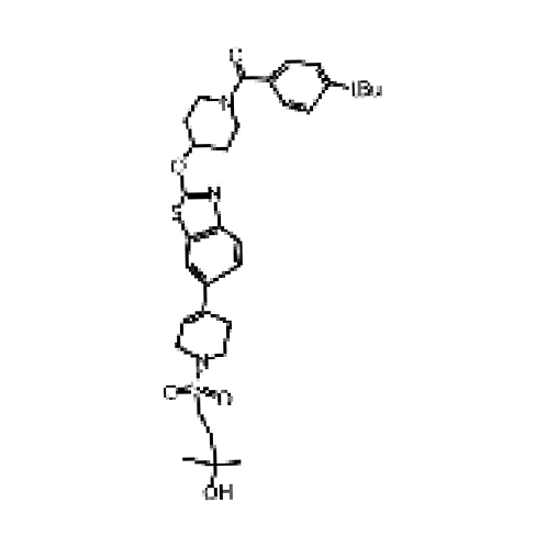 CC(C)(O)CCS(=O)(=O)N1CC=C(c2ccc3nc(OC4CCN(C(=O)c5ccc(C(C)(C)C)cc5)CC4)sc3c2)CC1